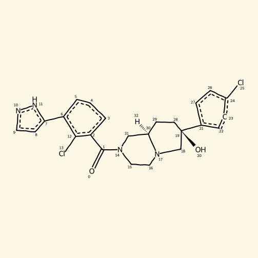 O=C(c1cccc(-c2ccn[nH]2)c1Cl)N1CCN2C[C@@](O)(c3ccc(Cl)cc3)CC[C@@H]2C1